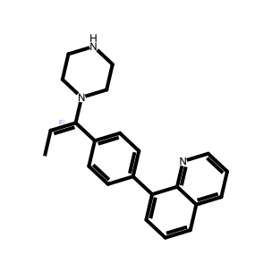 C/C=C(\c1ccc(-c2cccc3cccnc23)cc1)N1CCNCC1